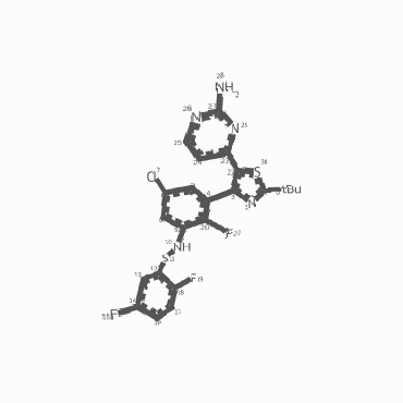 CC(C)(C)c1nc(-c2cc(Cl)cc(NSc3cc(F)ccc3F)c2F)c(-c2ccnc(N)n2)s1